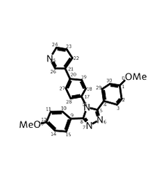 COc1ccc(-c2nnc(-c3ccc(OC)cc3)n2-c2ccc(-c3cccnc3)cc2)cc1